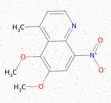 COc1cc([N+](=O)[O-])c2nccc(C)c2c1OC